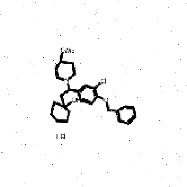 COC1CCN(C(CC2(O)CCCCC2)c2ccc(OCc3ccccc3)c(Cl)c2)CC1.Cl